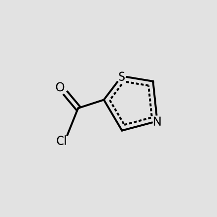 O=C(Cl)c1cncs1